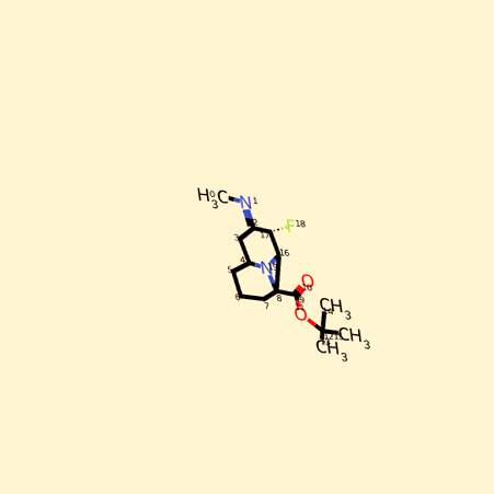 C/N=C1\CC2CCCC3(C(=O)OC(C)(C)C)C([C@H]1F)N23